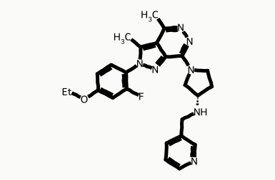 CCOc1ccc(-n2nc3c(N4CC[C@H](NCc5cccnc5)C4)nnc(C)c3c2C)c(F)c1